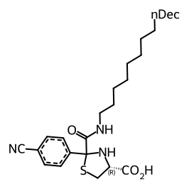 CCCCCCCCCCCCCCCCCCNC(=O)C1(c2ccc(C#N)cc2)N[C@H](C(=O)O)CS1